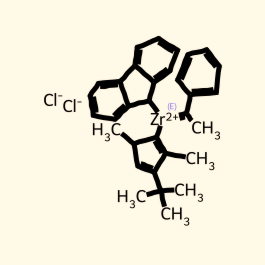 CC1=[C](/[Zr+2](=[C](\C)c2ccccc2)[CH]2c3ccccc3-c3ccccc32)C(C)C=C1C(C)(C)C.[Cl-].[Cl-]